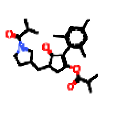 Cc1cc(C)c(C2=C(OC(=O)C(C)C)CC(CC3CCN(C(=O)C(C)C)C3)C2=O)c(C)c1